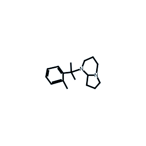 Cc1ccccc1C(C)(C)N1CCCN2CCCC21